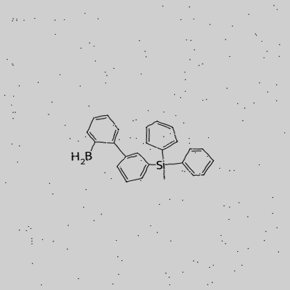 Bc1ccccc1-c1cccc([Si](C)(c2ccccc2)c2ccccc2)c1